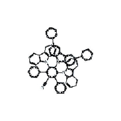 N#Cc1c(-c2ccccc2)c(N2C3=C(CCC=C3)C3C=CC=CC32)c(-n2c3ccc(-c4ccccc4)cc3c3cc(-c4ccccc4)ccc32)c(-n2c3c(c4c2C=CCC4)CCC=C3)c1-c1ccccc1